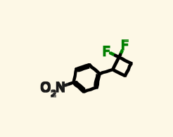 O=[N+]([O-])c1ccc(C2CCC2(F)F)cc1